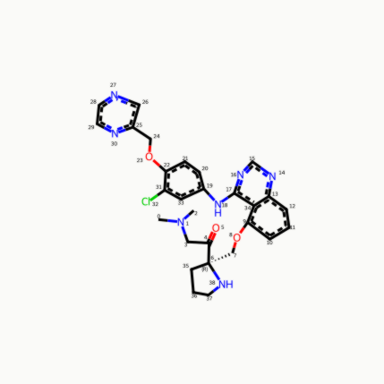 CN(C)CC(=O)[C@]1(COc2cccc3ncnc(Nc4ccc(OCc5cnccn5)c(Cl)c4)c23)CCCN1